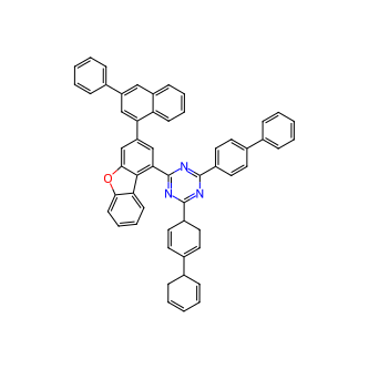 C1=CCC(C2=CCC(c3nc(-c4ccc(-c5ccccc5)cc4)nc(-c4cc(-c5cc(-c6ccccc6)cc6ccccc56)cc5oc6ccccc6c45)n3)C=C2)C=C1